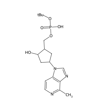 Cc1nccc2c1ncn2C1CC(O)C(COP(=O)(O)OC(C)(C)C)C1